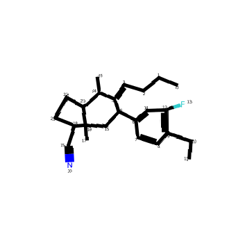 CCC/C=C1\C(c2ccc(CC)c(F)c2)CC2(C)C(C#N)CCC2C1C